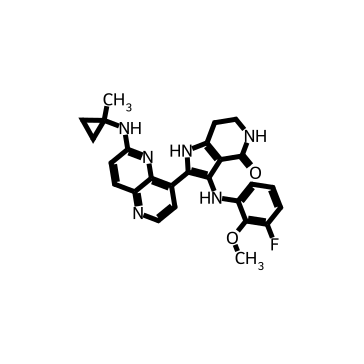 COc1c(F)cccc1Nc1c(-c2ccnc3ccc(NC4(C)CC4)nc23)[nH]c2c1C(=O)NCC2